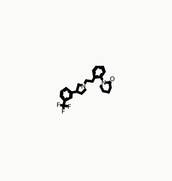 O=C1CCCCN1c1ccccc1CCN1CCC(c2cccc(C(F)(F)F)c2)C1